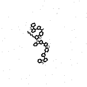 CCCCCCc1cc(-n2c3ccccc3c3cc(-c4ccc5oc6ccc(-c7cccc(-c8cccc9sc%10ccccc%10c89)c7)cc6c5c4)ccc32)c2oc3ccc(C(C)c4cccc(-c5cccc6sc7ccccc7c56)c4)cc3c2c1